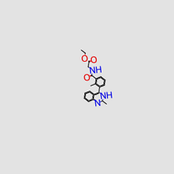 CCOC(=O)CNC(=O)c1cccc(C2=c3ccccc3=NC(C)N2)c1C